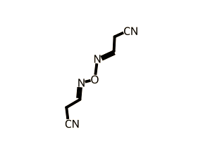 N#CCC=NON=CCC#N